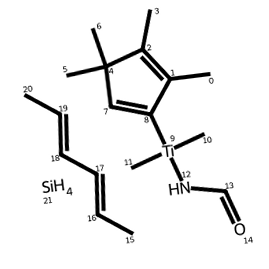 CC1=C(C)C(C)(C)C=[C]1[Ti]([CH3])([CH3])[NH]C=O.CC=CC=CC.[SiH4]